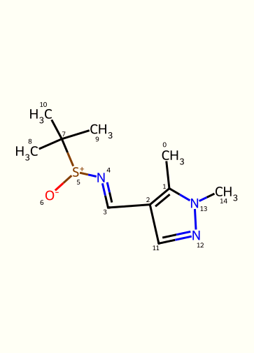 Cc1c(C=N[S+]([O-])C(C)(C)C)cnn1C